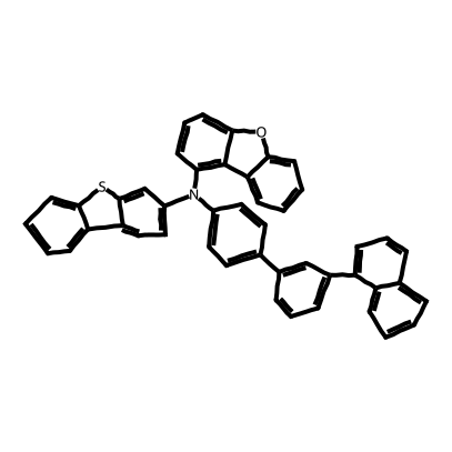 c1cc(-c2ccc(N(c3ccc4c(c3)sc3ccccc34)c3cccc4oc5ccccc5c34)cc2)cc(-c2cccc3ccccc23)c1